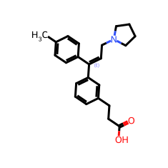 Cc1ccc(/C(=C\CN2CCCC2)c2cccc(CCC(=O)O)c2)cc1